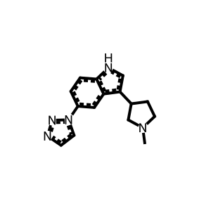 CN1CCC(c2c[nH]c3ccc(-n4ccnn4)cc23)C1